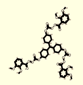 COc1cccc(C(=O)OOC(=O)OC2CCC(C(C3CCC(OC(=O)OOC(=O)c4cccc(OC)c4OC)CC3)C3CCC(OC(=O)OOC(=O)c4cccc(OC)c4OC)CC3)CC2)c1OC